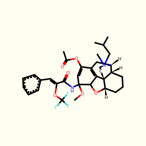 COC1(NC(=O)C(=Cc2ccccc2)OC(F)(F)F)C=C(OC(C)=O)C2=C3C1O[C@H]1CCC[C@H]4[C@@H](C2)[N+](C)(CC(C)C)CC[C@]314